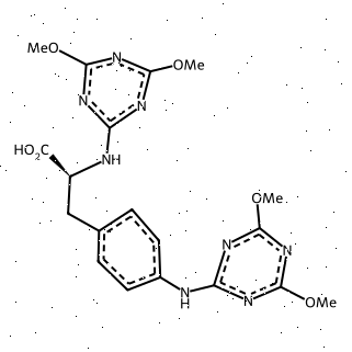 COc1nc(Nc2ccc(C[C@H](Nc3nc(OC)nc(OC)n3)C(=O)O)cc2)nc(OC)n1